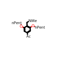 CCCCCOc1cc(C(C)=O)cc(OCCCCC)c1CNC